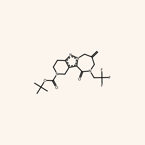 C=C1CN(CC(F)(F)F)C(=O)c2c3c(nn2C1)CCN(C(=O)OC(C)(C)C)C3